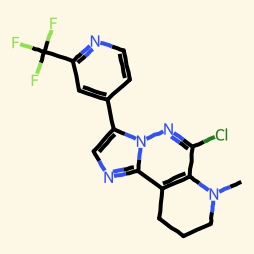 CN1CCCc2c1c(Cl)nn1c(-c3ccnc(C(F)(F)F)c3)cnc21